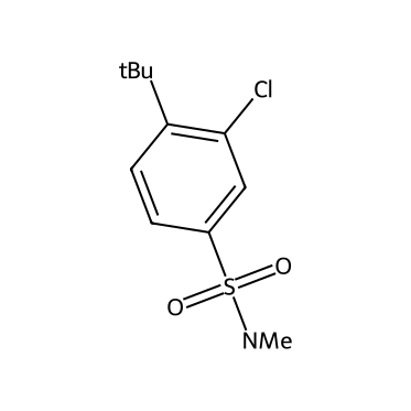 CNS(=O)(=O)c1ccc(C(C)(C)C)c(Cl)c1